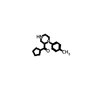 Cc1ccc(N2CCNCC2C(=O)C2CCCC2)cc1